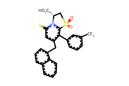 O=C(O)[C@@H]1CS(=O)(=O)c2c(-c3cccc(C(F)(F)F)c3)c(Cc3cccc4ccccc34)cc(=S)n21